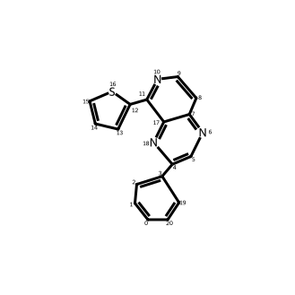 c1ccc(-c2cnc3ccnc(-c4cccs4)c3n2)cc1